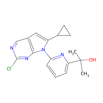 CC(C)(O)c1cccc(-n2c(C3CC3)cc3cnc(Cl)nc32)n1